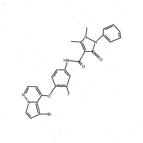 Cc1c(C(=O)Nc2ccc(Oc3ccnn4ccc(Br)c34)c(F)c2)c(=O)n(-c2ccccc2)n1C